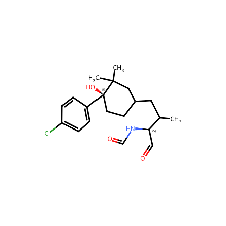 CC(CC1CC[C@](O)(c2ccc(Cl)cc2)C(C)(C)C1)[C@@H](C=O)NC=O